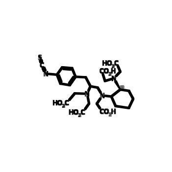 O=C(O)CN(CC(=O)O)C(Cc1ccc(N=C=S)cc1)CN(CC(=O)O)C1CCCC[C@@H]1N(CC(=O)O)CC(=O)O